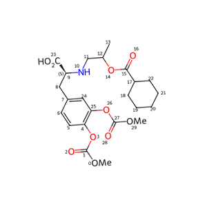 COC(=O)Oc1ccc(C[C@H](NCC(C)OC(=O)C2CCCCC2)C(=O)O)cc1OC(=O)OC